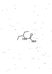 CCC(CC)NC([NH])=O